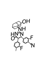 Cc1ccc(-c2c(-c3ccc(C#N)c(F)c3)nc(NC34CC5CC(CC(O)(C5)C3)C4)[nH]c2=O)cc1F